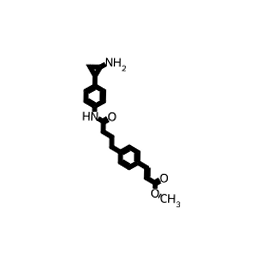 COC(=O)/C=C/c1ccc(CCCC(=O)Nc2ccc(C3CC3N)cc2)cc1